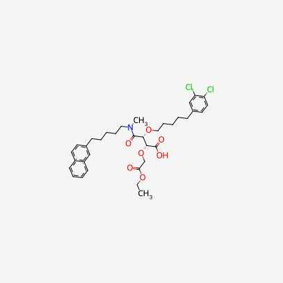 CCOC(=O)CO[C@@H](C(=O)O)[C@@H](OCCCCCc1ccc(Cl)c(Cl)c1)C(=O)N(C)CCCCCc1ccc2ccccc2c1